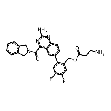 NCCC(=O)OCc1cc(F)c(F)cc1-c1ccc2nc(N)nc(C(=O)N3Cc4ccccc4C3)c2c1